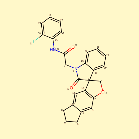 O=C(CN1C(=O)C2(COc3cc4c(cc32)CCC4)c2ccccc21)Nc1ccccc1F